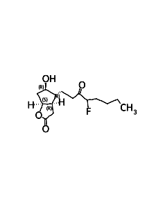 CCCCC(F)C(=O)CC[C@@H]1[C@H]2CC(=O)O[C@H]2C[C@H]1O